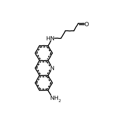 Nc1ccc2cc3ccc(NCCCC=O)cc3nc2c1